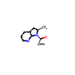 COC(=O)n1c(C(F)(F)F)cc2cccnc21